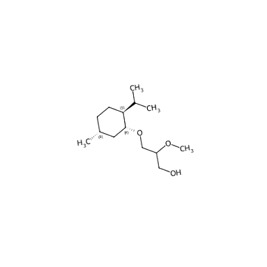 COC(CO)CO[C@@H]1C[C@H](C)CC[C@H]1C(C)C